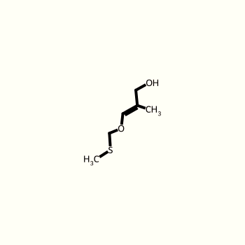 CSCO/C=C(\C)CO